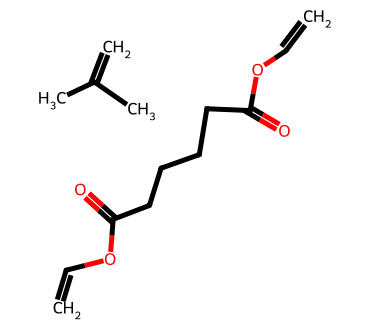 C=C(C)C.C=COC(=O)CCCCC(=O)OC=C